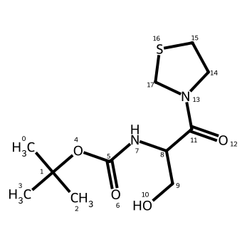 CC(C)(C)OC(=O)NC(CO)C(=O)N1CCSC1